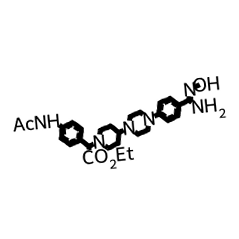 CCOC(=O)C(c1ccc(NC(C)=O)cc1)N1CCC(N2CCN(c3ccc(C(N)=NO)cc3)CC2)CC1